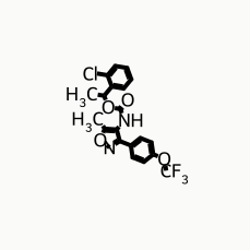 Cc1onc(-c2ccc(OC(F)(F)F)cc2)c1NC(=O)OC(C)c1ccccc1Cl